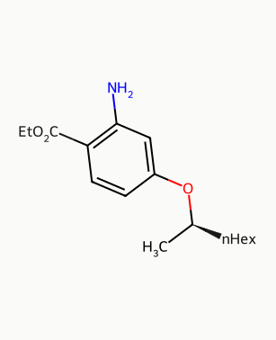 CCCCCC[C@@H](C)Oc1ccc(C(=O)OCC)c(N)c1